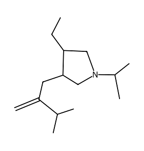 C=C(CC1CN(C(C)C)CC1CC)C(C)C